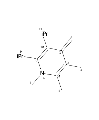 C=C1C(C)=C(C)N(C)C(C(C)C)=C1C(C)C